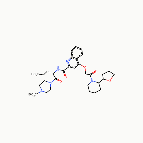 CCOC(=O)N1CCN(C(=O)[C@H](CCC(=O)O)NC(=O)c2cc(OCC(=O)N3CCCCC3C3CCCO3)c3ccccc3n2)CC1